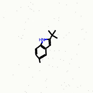 Cc1ccc2[nH]c(C(C)(C)C)cc2c1